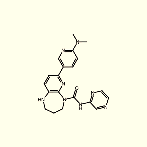 CN(C)c1ccc(-c2ccc3c(n2)N(C(=O)Nc2cnccn2)CCCN3)cn1